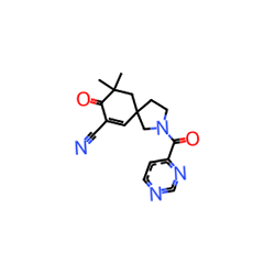 CC1(C)CC2(C=C(C#N)C1=O)CCN(C(=O)c1ccncn1)C2